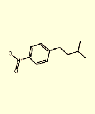 CC(C)CCc1ccc([N+](=O)[O-])cc1